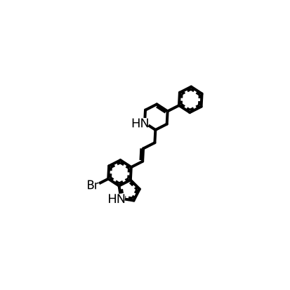 Brc1ccc(C=CCC2CC(c3ccccc3)=CCN2)c2cc[nH]c12